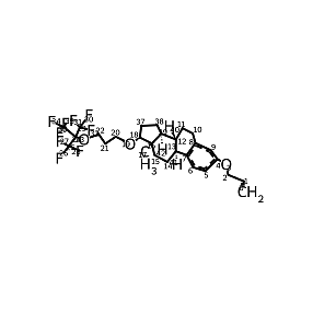 C=CCOc1ccc2c(c1)CC[C@@H]1[C@@H]2CC[C@]2(C)[C@@H](OCCCOC(C(F)(F)F)(C(F)(F)F)C(F)(F)F)CC[C@@H]12